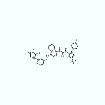 CN[C@@H](C)C(=O)Nc1cc(COc2ccc(NC(=O)Nc3cc(C(C)(C)C)nn3-c3ccc(C)cc3)c3ccccc23)ccn1